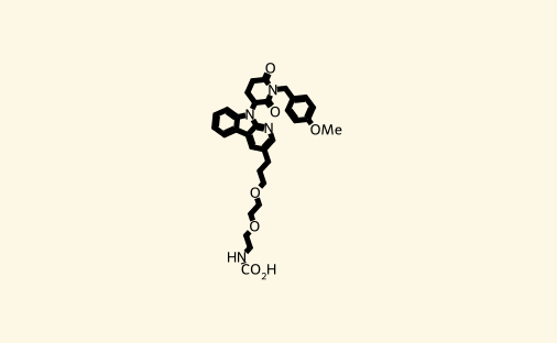 COc1ccc(CN2C(=O)CCC(n3c4ccccc4c4cc(CCCOCCOCCNC(=O)O)cnc43)C2=O)cc1